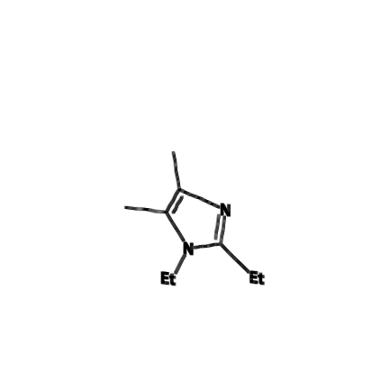 CCc1nc(C)c(C)n1CC